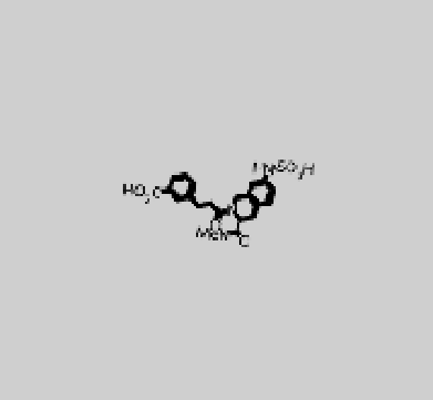 CNC(=O)[C@@H]1Cc2ccc(NS(=O)(=O)O)cc2CN1C(=O)CCc1cccc(C(=O)O)c1